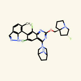 Cc1ccc2cn[nH]c2c1-c1c(Cl)cc2c(N3CC4CCC(C3)N4)nc(OC[C@@]34CCCN3C[C@H](F)C4)nc2c1F